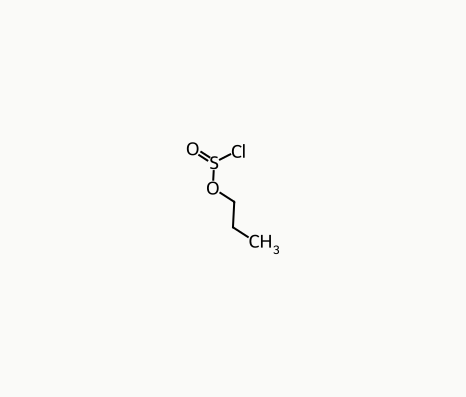 CCCOS(=O)Cl